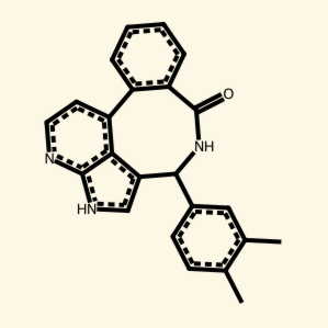 Cc1ccc(C2NC(=O)c3ccccc3-c3ccnc4[nH]cc2c34)cc1C